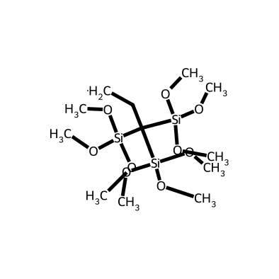 [CH2]CC([Si](OC)(OC)OC)([Si](OC)(OC)OC)[Si](OC)(OC)OC